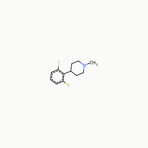 CN1CCC(c2c(F)cccc2F)CC1